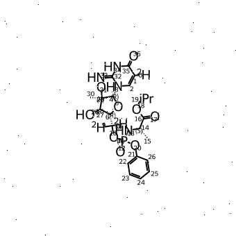 [2H]c1cn([C@@H]2O[C@H](C([2H])([2H])O[P@](=O)(N[C@@H](C)C(=O)OC(C)C)Oc3ccccc3)[C@@H](O)[C@@]2(C)O)c(=N)[nH]c1=O